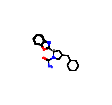 NC(=O)N1C[C](CC2CCCCC2)C[C@H]1c1nc2ccccc2o1